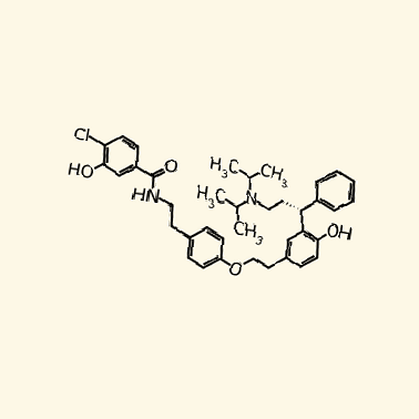 CC(C)N(CC[C@H](c1ccccc1)c1cc(CCOc2ccc(CCNC(=O)c3ccc(Cl)c(O)c3)cc2)ccc1O)C(C)C